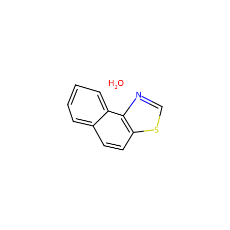 O.c1ccc2c(c1)ccc1scnc12